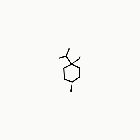 CC(C)[C@]1(F)CC[C@@H](C)CC1